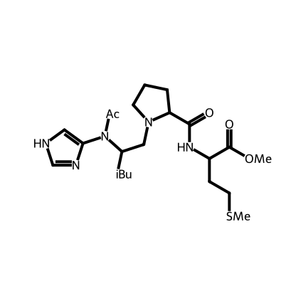 CCC(C)C(CN1CCCC1C(=O)NC(CCSC)C(=O)OC)N(C(C)=O)c1c[nH]cn1